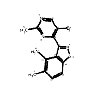 Cc1ncc(Br)c(-c2nsc3ccc(C)c(N)c23)n1